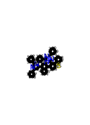 c1ccc(-c2cc(-c3ccc(-c4ccc5sc6ccccc6c5c4-c4nc(-c5ccccc5)nc(-c5ccccc5)n4)c4ccccc34)nc(-c3ccccc3)n2)cc1